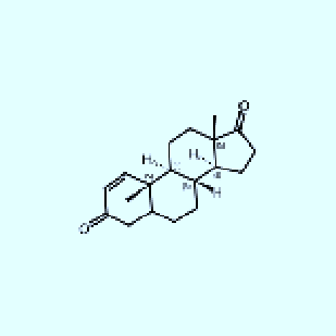 C[C@]12C=CC(=O)CC1CC[C@@H]1[C@@H]2CC[C@]2(C)C(=O)CC[C@@H]12